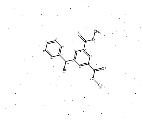 COC(=O)c1cc(C(=O)OC)cc(C(Br)c2ccccc2)c1